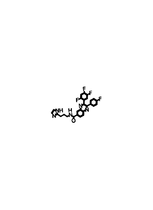 O=C(NCCCc1ncc[nH]1)c1ccc2nc(-c3ccc(F)cc3)c(-c3cc(F)c(F)cc3F)nc2c1